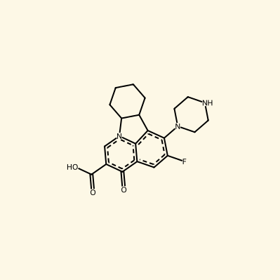 O=C(O)c1cn2c3c(c(N4CCNCC4)c(F)cc3c1=O)C1CCCCC12